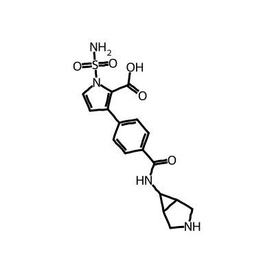 NS(=O)(=O)n1ccc(-c2ccc(C(=O)NC3C4CNCC43)cc2)c1C(=O)O